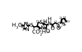 Cn1cnc(SCC2=C(C(=O)O)N3C(=O)C(NC(=O)C[S+]([O-])c4cccs4)[C@H]3SC2)n1